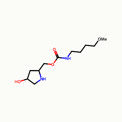 COCCCCNC(=O)OCC1CC(O)CN1